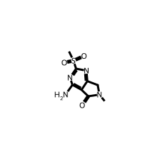 CN1Cc2nc(S(C)(=O)=O)nc(N)c2C1=O